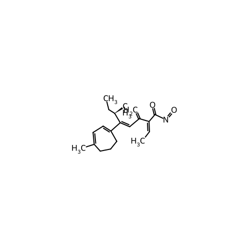 C=C(/C=C(/C1=CC=C(C)CCC1)[C@H](C)CC)/C(=C\C)C(=O)N=O